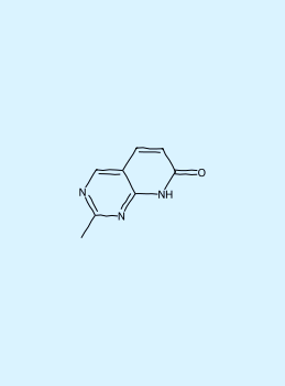 Cc1ncc2ccc(=O)[nH]c2n1